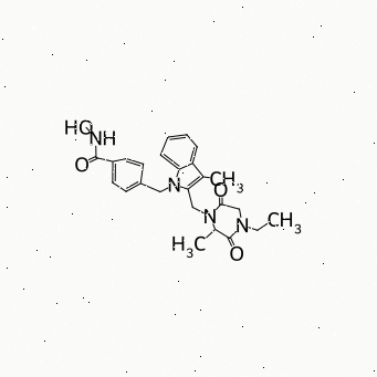 CCN1CC(=O)N(Cc2c(C)c3ccccc3n2Cc2ccc(C(=O)NO)cc2)C(C)C1=O